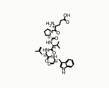 C=C(C)C[C@H](NC(=O)[C@H](NC(=O)[C@@H]1CCCN1C(=O)[C@H](N)CCC(=O)O)C(C)C)C(=O)N[C@@H](C=O)Cc1c[nH]c2ccccc12